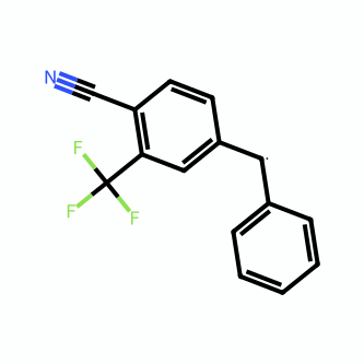 N#Cc1ccc([CH]c2ccccc2)cc1C(F)(F)F